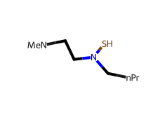 CCCCN(S)CCNC